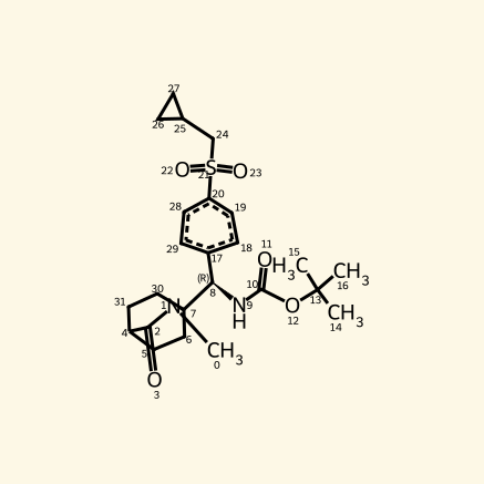 CN1C(=O)C2CCC1([C@H](NC(=O)OC(C)(C)C)c1ccc(S(=O)(=O)CC3CC3)cc1)CC2